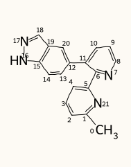 Cc1cccc(-c2ncccc2-c2ccc3[nH]ncc3c2)n1